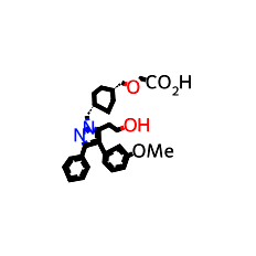 COc1cccc(-c2c(-c3ccccc3)nn(C[C@H]3CC[C@@H](COCC(=O)O)CC3)c2CCO)c1